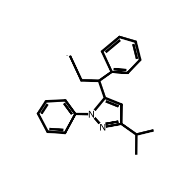 [CH2]CC(c1ccccc1)c1cc(C(C)C)nn1-c1ccccc1